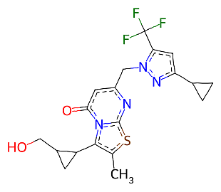 Cc1sc2nc(Cn3nc(C4CC4)cc3C(F)(F)F)cc(=O)n2c1C1CC1CO